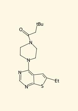 CCc1cc2c(N3CCN(C(=O)CC(C)(C)C)CC3)ncnc2s1